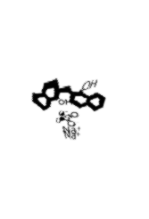 O=S(=O)([O-])[O-].Oc1c(Cc2ccc3ccccc3c2O)ccc2ccccc12.[Na+].[Na+]